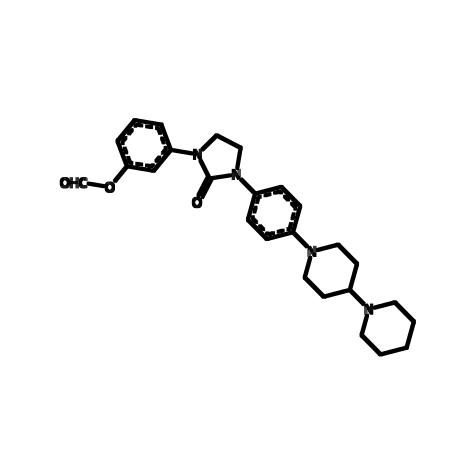 O=COc1cccc(N2CCN(c3ccc(N4CCC(N5CCCCC5)CC4)cc3)C2=O)c1